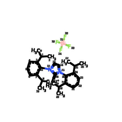 CC(C)c1cccc(C(C)C)c1-n1ccn(-c2c(C(C)C)cccc2C(C)C)[c]1=[Au+].F[B-](F)(F)F